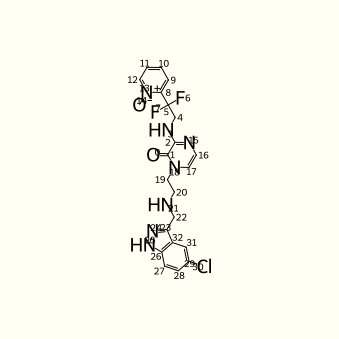 O=c1c(NCC(F)(F)c2cccc[n+]2[O-])nccn1CCNCc1n[nH]c2ccc(Cl)cc12